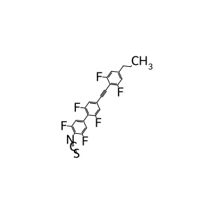 CCCc1cc(F)c(C#Cc2cc(F)c(-c3cc(F)c(N=C=S)c(F)c3)c(F)c2)c(F)c1